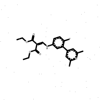 CCOC(=O)C(=CNc1ccc(F)c(-c2cc(C)nc(C)c2)c1)C(=O)OCC